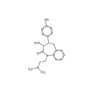 CC(=O)OC1C(=O)N(CCN(C)C)c2ccccc2SC1c1ccc(O)cc1